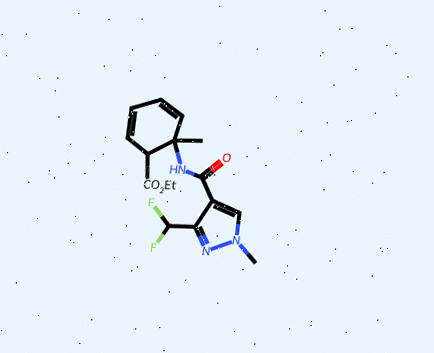 CCOC(=O)C1C=CC=CC1(C)NC(=O)c1cn(C)nc1C(F)F